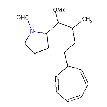 COC(C(C)CCC1C=CC=CC=C1)C1CCCN1C=O